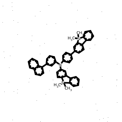 C[Si]1(C)c2ccccc2-c2cc(N(c3ccc(-c4ccc5c(c4)[Si](C)(C)c4ccccc4-5)cc3)c3cccc(-c4cccc5ccccc45)c3)ccc21